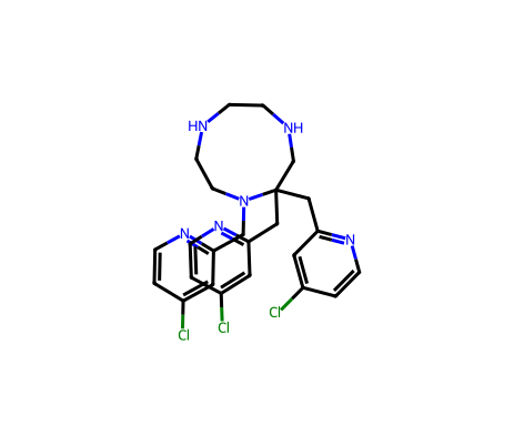 Clc1ccnc(CN2CCNCCNCC2(Cc2cc(Cl)ccn2)Cc2cc(Cl)ccn2)c1